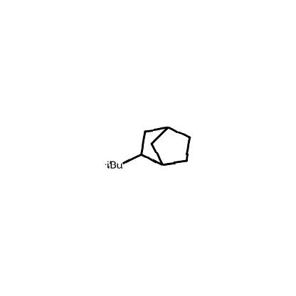 CC[C](C)C1CC2CCC1C2